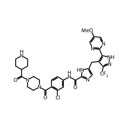 COc1cnc(-c2[nH]nc(C(F)(F)F)c2Cc2cnc(C(=O)Nc3ccc(C(=O)N4CCN(C(=O)C5CCNCC5)CC4)c(Cl)c3)[nH]2)nc1